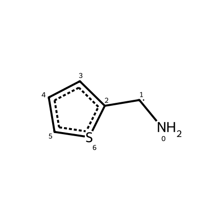 N[CH]c1cccs1